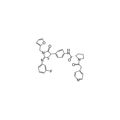 O=C(Nc1ccc(C2S/C(=N\c3cccc(F)c3)N(Cc3ccco3)C2=O)cc1)[C@@H]1CCCN1C(=O)Cc1ccncc1